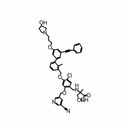 Cc1c(COc2cc(OCc3cncc(C#N)c3)c(CNC(C)(CO)C(=O)O)cc2Cl)cccc1-c1cc(C#Cc2ccccc2)cc(OCCCN2CCC(O)C2)c1